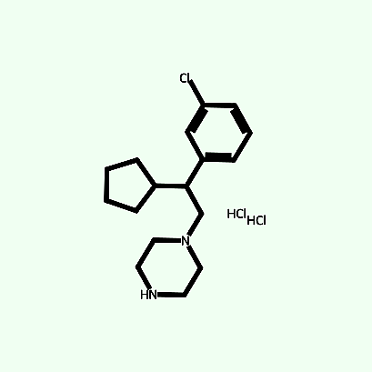 Cl.Cl.Clc1cccc(C(CN2CCNCC2)C2CCCC2)c1